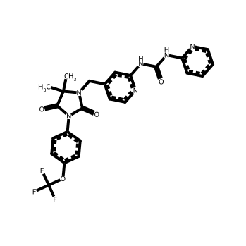 CC1(C)C(=O)N(c2ccc(OC(F)(F)F)cc2)C(=O)N1Cc1ccnc(NC(=O)Nc2ccccn2)c1